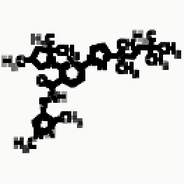 Cc1nn(C)cc1SNC(=O)c1ccc(-n2ccc(S(C)(C)CCC(C)(C)C)n2)nc1N1CC(C)CC1(C)C